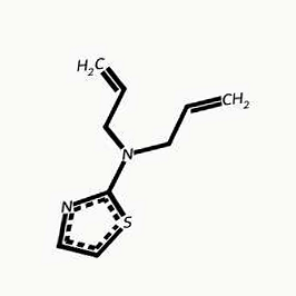 C=CCN(CC=C)c1nccs1